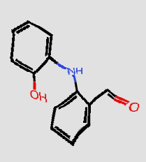 O=Cc1ccccc1Nc1ccccc1O